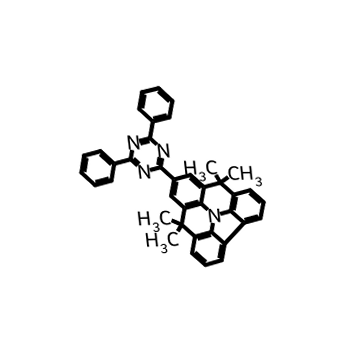 CC1(C)c2cc(-c3nc(-c4ccccc4)nc(-c4ccccc4)n3)cc3c2-n2c4c1cccc4c1cccc(c12)C3(C)C